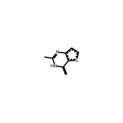 C=C1NC(C)=Nc2ccsc21